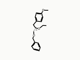 CCO[C@H](COCc1ccccc1)Cc1ccc(OC)cc1